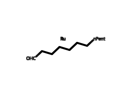 CCCCCCCCCCCC=O.[Ru]